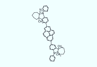 CC12CCCCCC1(C)N(c1ccccc1)c1ccc(-c3cc4ccc5cc(-c6ccc7c(c6)C6(C)CCCCCC6(C)N7c6ccccc6)cc6ccc(c3)c4c56)cc12